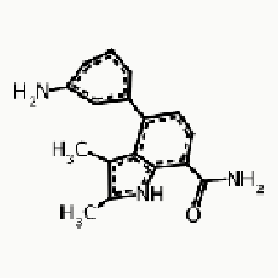 Cc1[nH]c2c(C(N)=O)ccc(-c3cccc(N)c3)c2c1C